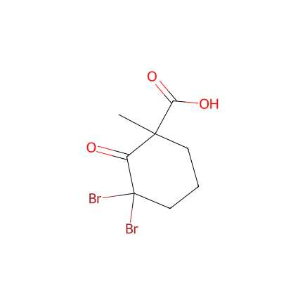 CC1(C(=O)O)CCCC(Br)(Br)C1=O